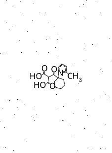 Cc1cccn1C1(C(=O)C(C(=O)O)C(=O)O)CCCCC1